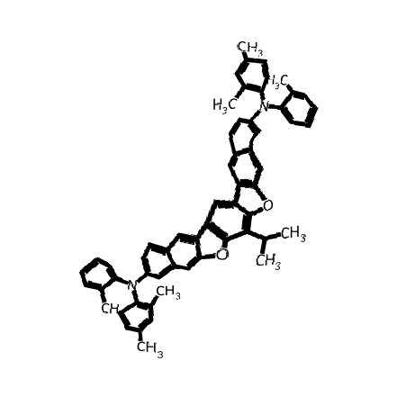 Cc1ccc(N(c2ccc3cc4c(cc3c2)oc2c(C(C)C)c3oc5cc6cc(N(c7ccccc7C)c7ccc(C)cc7C)ccc6cc5c3cc24)c2ccccc2C)c(C)c1